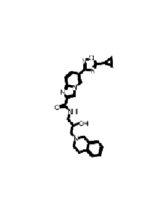 O=C(NCC(O)CN1CCc2ccccc2C1)c1cn2cc(-c3noc(C4CC4)n3)ccc2n1